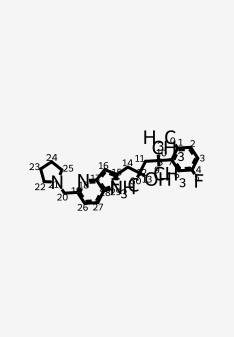 Cc1ccc(F)cc1C(C)(C)CC(O)(Cc1cc2nc(CN3CCCC3)ccc2[nH]1)C(F)(F)F